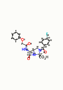 O=C(COc1ccccc1)N[C@@H]1C(=O)N2C1CN(C(=O)c1ccc(F)cc1)C2C(=O)O